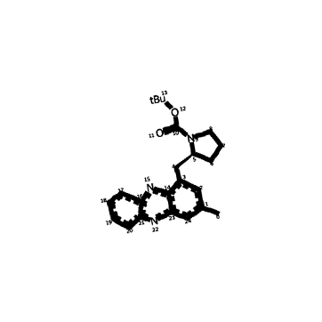 Cc1cc(C[C@@H]2CCCN2C(=O)OC(C)(C)C)c2nc3ccccc3nc2c1